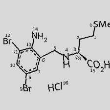 CSCC[C@H](NCc1cc(Br)cc(Br)c1N)C(=O)O.Cl